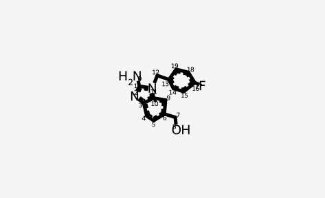 Nc1nc2ccc(CO)cc2n1Cc1ccc(F)cc1